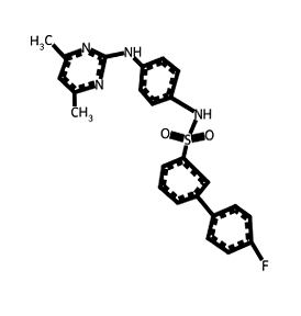 Cc1cc(C)nc(Nc2ccc(NS(=O)(=O)c3cccc(-c4ccc(F)cc4)c3)cc2)n1